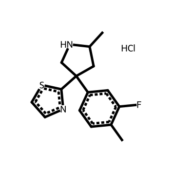 Cc1ccc(C2(c3nccs3)CNC(C)C2)cc1F.Cl